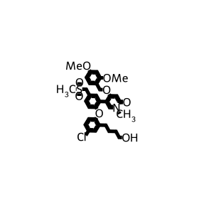 COc1ccc(COc2cc(=O)n(C)cc2-c2cc(CS(C)(=O)=O)ccc2Oc2ccc(Cl)cc2CCCCO)c(OC)c1